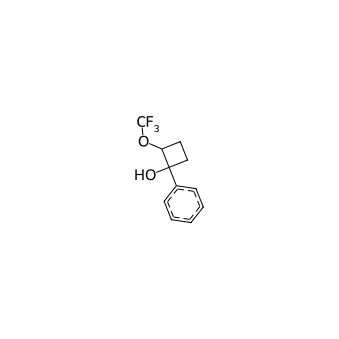 OC1(c2ccccc2)CCC1OC(F)(F)F